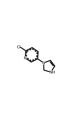 Clc1ccc(N2C=CNC2)cn1